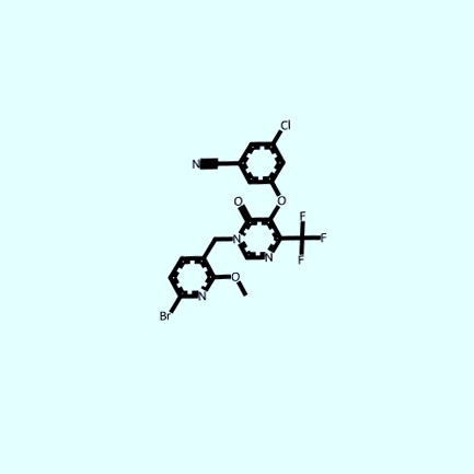 COc1nc(Br)ccc1Cn1cnc(C(F)(F)F)c(Oc2cc(Cl)cc(C#N)c2)c1=O